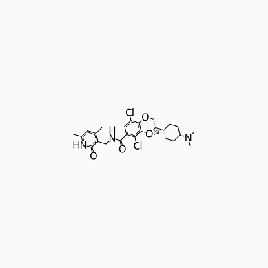 Cc1cc(C)c(CNC(=O)c2cc(Cl)c3c(c2Cl)O[C@@H]([C@H]2CC[C@@H](N(C)C)CC2)CO3)c(=O)[nH]1